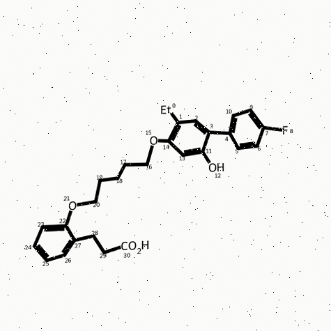 CCc1cc(-c2ccc(F)cc2)c(O)cc1OCCCCCOc1ccccc1CCC(=O)O